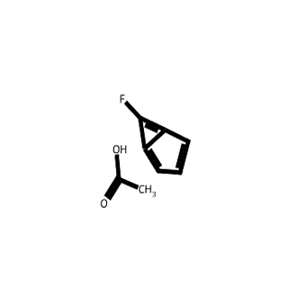 CC(=O)O.Fc1c2cccc1-2